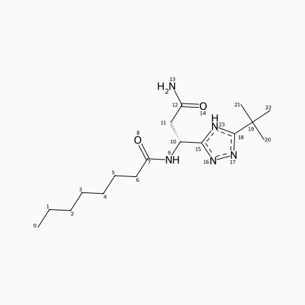 CCCCCCCC(=O)N[C@H](CC(N)=O)c1nnc(C(C)(C)C)[nH]1